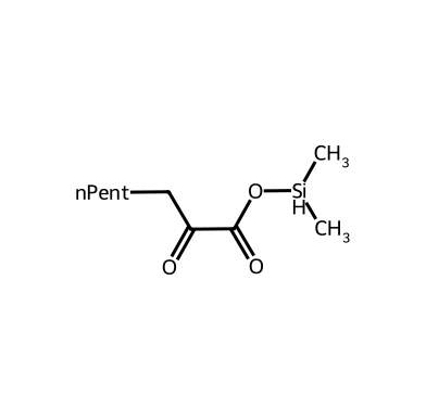 CCCCCCC(=O)C(=O)O[SiH](C)C